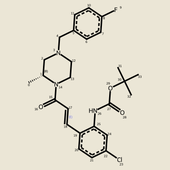 C[C@@H]1CN(Cc2ccc(F)cc2)CCN1C(=O)/C=C/c1ccc(Cl)cc1NC(=O)OC(C)(C)C